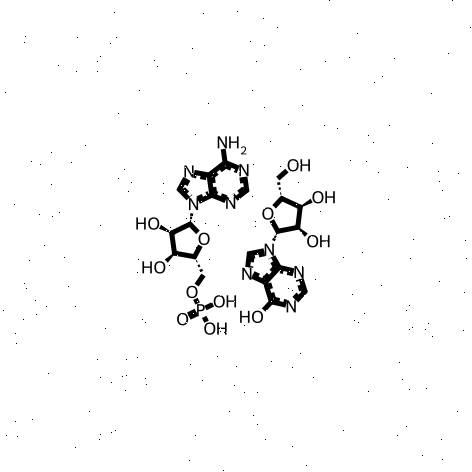 Nc1ncnc2c1ncn2[C@@H]1O[C@H](COP(=O)(O)O)[C@@H](O)[C@H]1O.OC[C@H]1O[C@@H](n2cnc3c(O)ncnc32)[C@H](O)[C@@H]1O